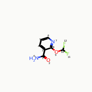 NC(=O)c1cccnc1OC(F)F